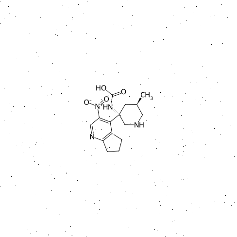 C[C@H]1CNC[C@@](NC(=O)O)(c2c([N+](=O)[O-])cnc3c2CCC3)C1